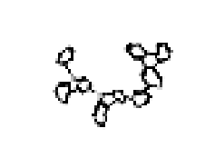 c1ccc(-n2c3ccccc3c3cc(-n4c5ccccc5c5cc(-c6cccc(-c7ccc8c9ccccc9c9ccccc9c8c7)c6)ccc54)ccc32)cc1